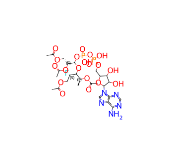 CC(=O)OC[C@H](F)C(OC(OP(=O)(O)OP(=O)(O)OCC1OC(n2cnc3c(N)ncnc32)C(O)C1O)[C@@H](COC(C)=O)OC(C)=O)[C@H](C)OC(C)=O